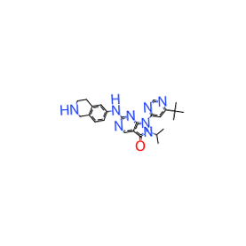 CC(C)n1c(=O)c2cnc(Nc3ccc4c(c3)CCNC4)nc2n1-c1cc(C(C)(C)C)ncn1